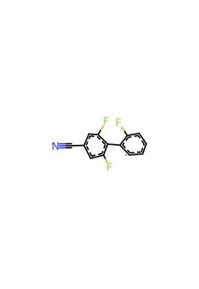 N#Cc1cc(F)c(-c2[c]cccc2F)c(F)c1